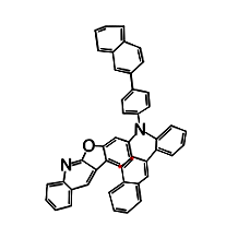 c1ccc(N(c2ccc(-c3ccc4ccccc4c3)cc2)c2ccc3c(c2)oc2nc4ccccc4cc23)c(-c2ccc3ccccc3c2)c1